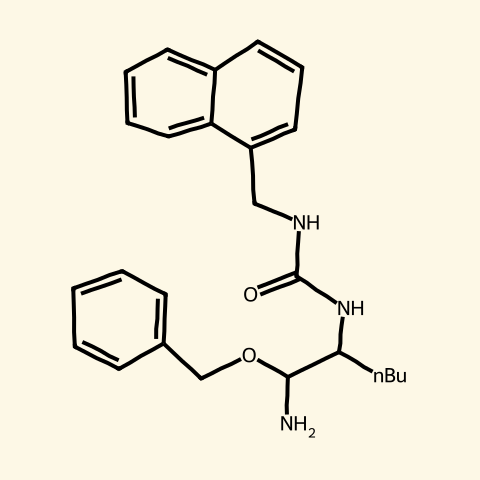 CCCCC(NC(=O)NCc1cccc2ccccc12)C(N)OCc1ccccc1